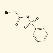 O=C(CBr)NS(=O)(=O)c1ccccc1